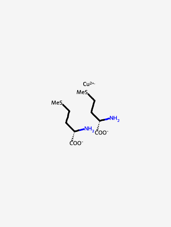 CSCC[C@H](N)C(=O)[O-].CSCC[C@H](N)C(=O)[O-].[Cu+2]